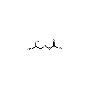 CCCC(=O)OOCC(CCC)CCC